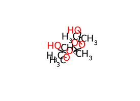 COC(OCC1(C)COC(C(C)(C)CO)OC1)C(C)(C)CO